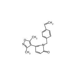 C=Cc1ccc(Cn2cc(-c3c(C)noc3C)ccc2=O)cc1